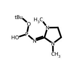 CN1CCN(C)C1=NP(O)OC(C)(C)C